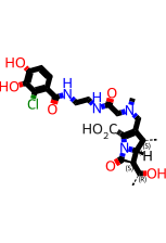 C[C@@H](O)[C@H]1C(=O)N2C(C(=O)O)=C(CN(C)CC(=O)NCCNC(=O)c3ccc(O)c(O)c3Cl)[C@H](C)[C@H]12